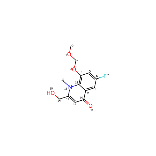 COCOc1cc(F)cc2c(=O)cc(CO)n(C)c12